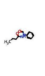 CCCC(=O)NN(C=O)c1ccccc1